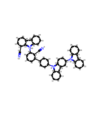 N#Cc1c(-c2ccc(-n3c4ccccc4c4cc(-n5c6ccccc6c6ccccc65)ccc43)cc2)cccc1-n1c2ccccc2c2cccc(C#N)c21